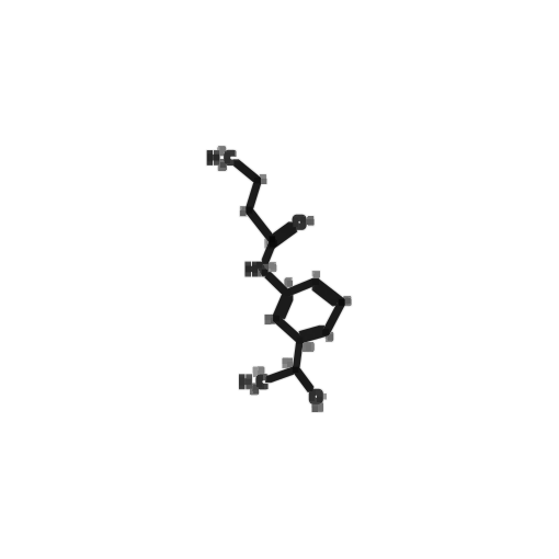 CCCC(=O)Nc1cccc(C(C)[O])c1